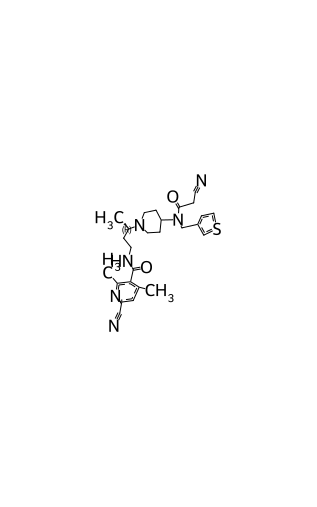 Cc1cc(C#N)nc(C)c1C(=O)NCC[C@@H](C)N1CCC(N(Cc2ccsc2)C(=O)CC#N)CC1